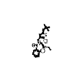 CC[C@@H]1CN(Cc2cc(CC(C)(C)C)sc2Cl)[S+]([O-])c2ccccc2O1